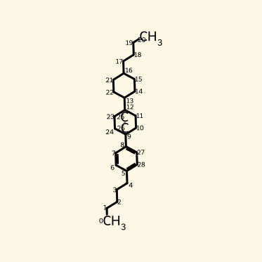 CCCCCc1ccc(C23CCC(C4CCC(CCCC)CC4)(CC2)CC3)cc1